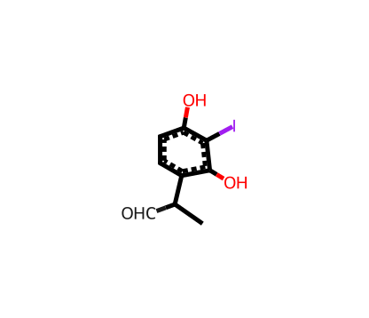 CC(C=O)c1ccc(O)c(I)c1O